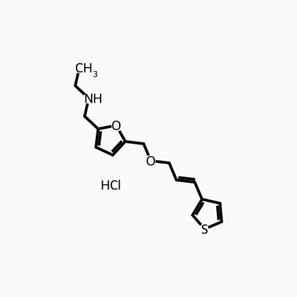 CCNCc1ccc(COCC=Cc2ccsc2)o1.Cl